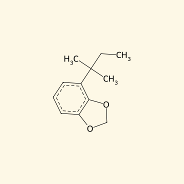 CCC(C)(C)c1cccc2c1OCO2